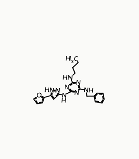 CCCCNc1nc(NCc2ccccc2)nc(Nc2cc(-c3ccco3)[nH]n2)n1